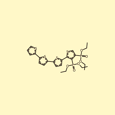 CCOP(=O)(OCC)c1csc(-c2ccc(-c3ccc(-c4cccs4)s3)s2)c1P(=O)(OCC)OCC